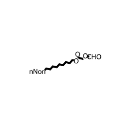 CCCCCCCCCCCCCCCCCCOC(=O)COC=O